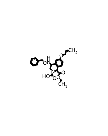 C=CCOc1ccc2c(c1)C(NOCc1ccccc1)CN(C(=O)O)C2C(=O)OCC